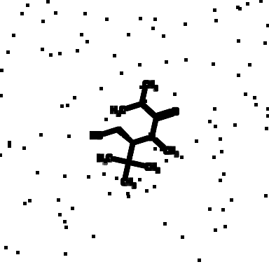 CC(C)C(=O)N(C)[C@H](CO)C(C)(C)C